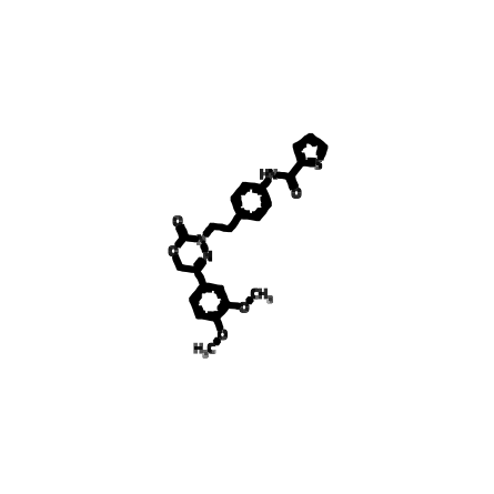 COc1ccc(C2=NN(CCc3ccc(NC(=O)c4cccs4)cc3)C(=O)OC2)cc1OC